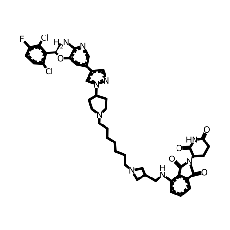 C[C@@H](Oc1cc(-c2cnn(C3CCN(CCCCCCCN4CC(CNc5cccc6c5C(=O)N(C5CCC(=O)NC5=O)C6=O)C4)CC3)c2)cnc1N)c1c(Cl)ccc(F)c1Cl